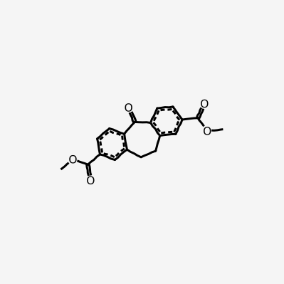 COC(=O)c1ccc2c(c1)CCc1cc(C(=O)OC)ccc1C2=O